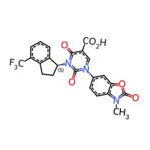 Cn1c(=O)oc2cc(-n3cc(C(=O)O)c(=O)n([C@H]4CCc5c4cccc5C(F)(F)F)c3=O)ccc21